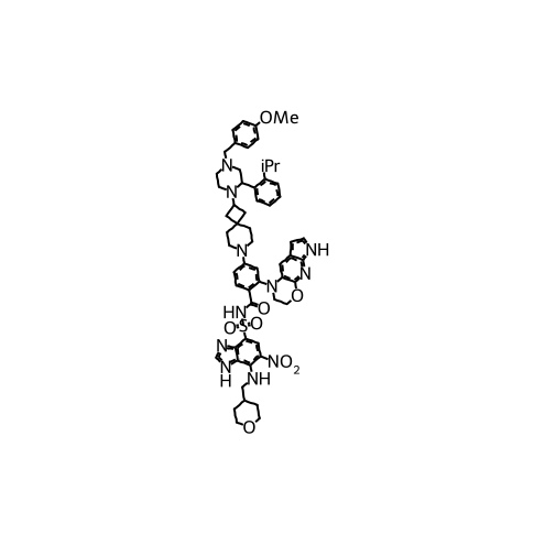 COc1ccc(CN2CCN(C3CC4(CCN(c5ccc(C(=O)NS(=O)(=O)c6cc([N+](=O)[O-])c(NCC7CCOCC7)c7[nH]cnc67)c(N6CCOc7nc8[nH]ccc8cc76)c5)CC4)C3)C(c3ccccc3C(C)C)C2)cc1